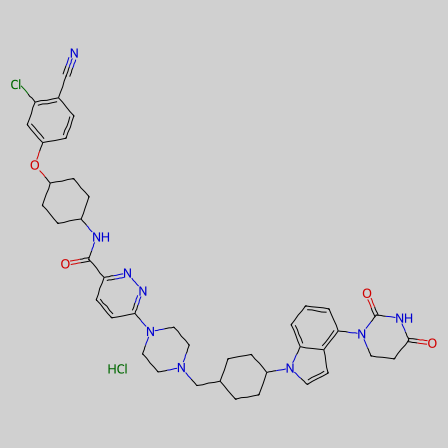 Cl.N#Cc1ccc(OC2CCC(NC(=O)c3ccc(N4CCN(CC5CCC(n6ccc7c(N8CCC(=O)NC8=O)cccc76)CC5)CC4)nn3)CC2)cc1Cl